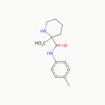 Cc1ccc(NC(=O)C2(C(=O)O)CCCCN2)cc1